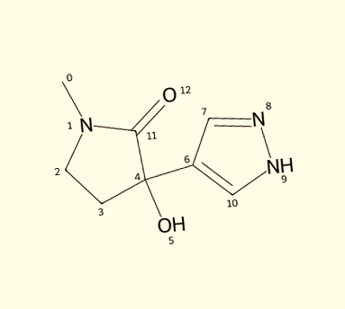 CN1CCC(O)(c2cn[nH]c2)C1=O